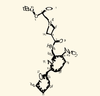 CC(C)(C)OC(=O)N1CC(C(=O)Nc2nc(-c3ccco3)ccc2[N+](=O)[O-])C1